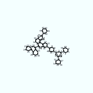 c1ccc(-c2cc(-c3ccc(-c4ccc5c(c4)nc(-c4cc6ccccc6c6ccccc46)c4ccc6oc(-c7ccccc7)nc6c45)cc3)nc(-c3ccccc3)n2)cc1